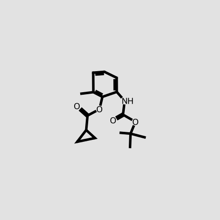 Cc1cccc(NC(=O)OC(C)(C)C)c1OC(=O)C1CC1